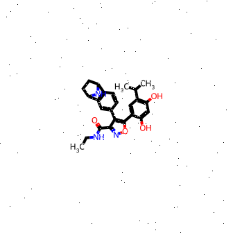 CCNC(=O)c1noc(-c2cc(C(C)C)c(O)cc2O)c1-c1ccc2c(c1)C1CCC2N1